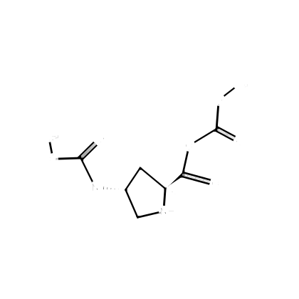 CC(C)(C)OC(=O)N[C@H]1CN[C@H](C(=O)OC(=O)OC(C)(C)C)C1